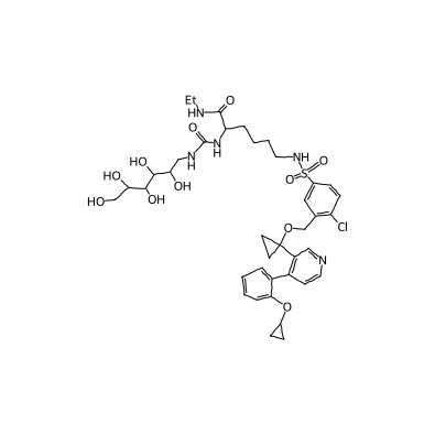 CCNC(=O)C(CCCCNS(=O)(=O)c1ccc(Cl)c(COC2(c3cnccc3-c3ccccc3OC3CC3)CC2)c1)NC(=O)NCC(O)C(O)C(O)C(O)CO